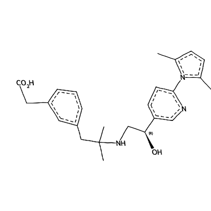 Cc1ccc(C)n1-c1ccc([C@@H](O)CNC(C)(C)Cc2cccc(CC(=O)O)c2)cn1